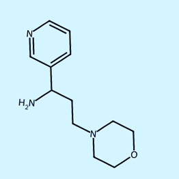 NC(CCN1CCOCC1)c1cccnc1